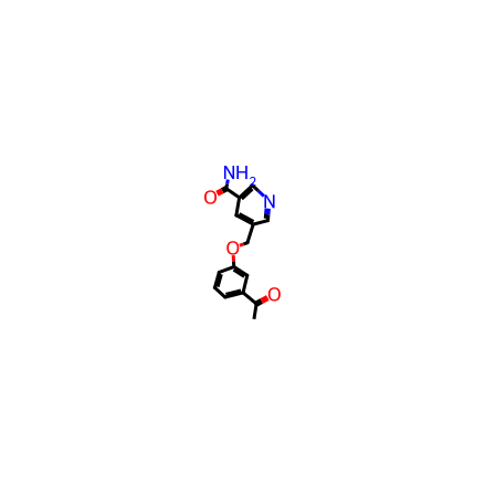 CC(=O)c1cccc(OCc2cncc(C(N)=O)c2)c1